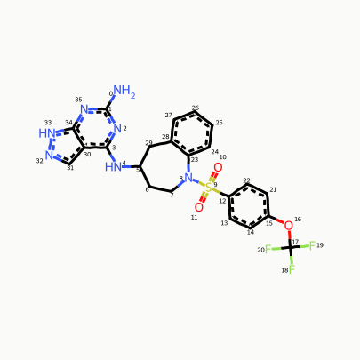 Nc1nc(NC2CCN(S(=O)(=O)c3ccc(OC(F)(F)F)cc3)c3ccccc3C2)c2cn[nH]c2n1